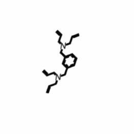 C=CCN(CC=C)Cc1cccc(CN(CC=C)CC=C)c1